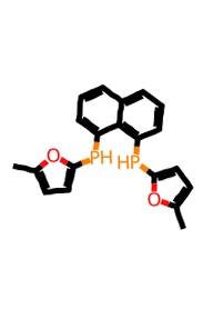 Cc1ccc(Pc2cccc3cccc(Pc4ccc(C)o4)c23)o1